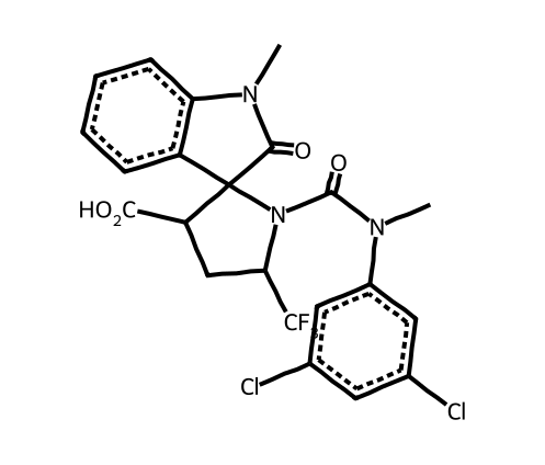 CN(C(=O)N1C(C(F)(F)F)CC(C(=O)O)C12C(=O)N(C)c1ccccc12)c1cc(Cl)cc(Cl)c1